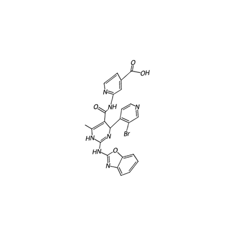 CC1=C(C(=O)Nc2cc(C(=O)O)ccn2)C(c2ccncc2Br)N=C(Nc2nc3ccccc3o2)N1